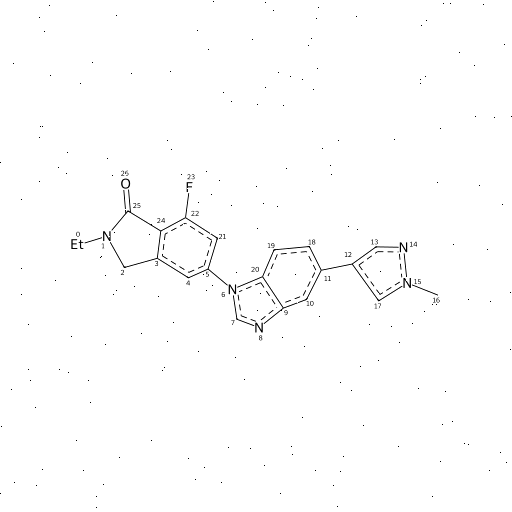 CCN1Cc2cc(-n3cnc4cc(-c5cnn(C)c5)ccc43)cc(F)c2C1=O